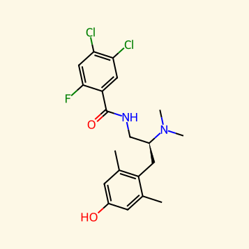 Cc1cc(O)cc(C)c1C[C@@H](CNC(=O)c1cc(Cl)c(Cl)cc1F)N(C)C